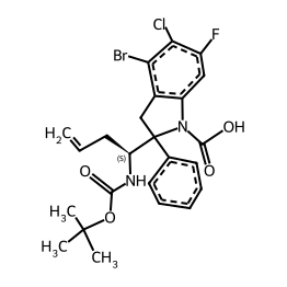 C=CC[C@H](NC(=O)OC(C)(C)C)C1(c2ccccc2)Cc2c(cc(F)c(Cl)c2Br)N1C(=O)O